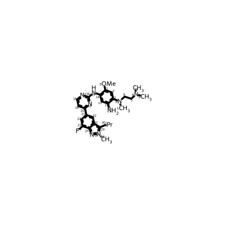 COc1cc(N(C)CCN(C)C)c(N)cc1Nc1nccc(-c2cc(F)c3nn(C)c(C(C)C)c3c2)n1